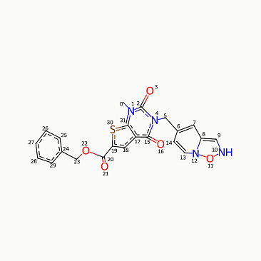 Cn1c(=O)n(CC2=CC3=CNON3C=C2)c(=O)c2cc(C(=O)OCc3ccccc3)sc21